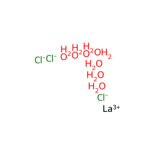 O.O.O.O.O.O.O.[Cl-].[Cl-].[Cl-].[La+3]